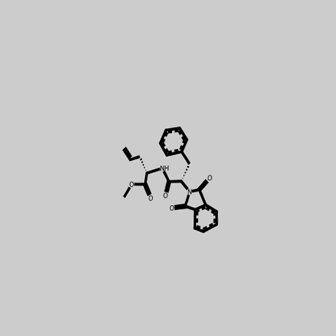 C=CC[C@H](NC(=O)[C@H](Cc1ccccc1)N1C(=O)c2ccccc2C1=O)C(=O)OC